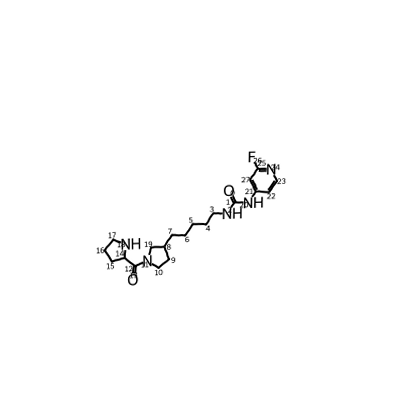 O=C(NCCCCCC1CCN(C(=O)C2CCCN2)C1)Nc1ccnc(F)c1